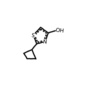 Oc1csc(C2CCC2)n1